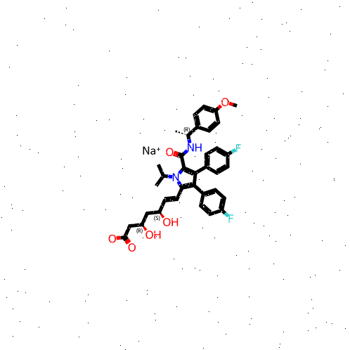 COc1ccc([C@@H](C)NC(=O)c2c(-c3ccc(F)cc3)c(-c3ccc(F)cc3)c(C=C[C@@H](O)C[C@@H](O)CC(=O)[O-])n2C(C)C)cc1.[Na+]